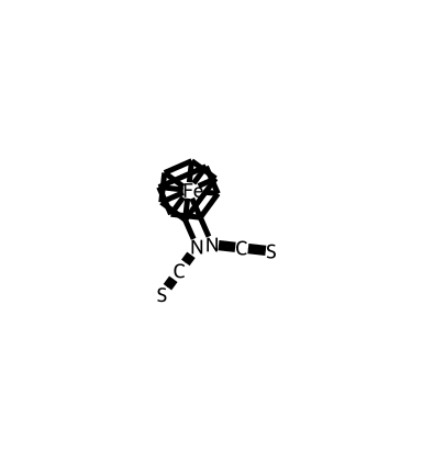 S=C=N[C]12[CH]3[CH]4[CH]5[CH]1[Fe]45321678[CH]2[CH]1[CH]6[C]7(N=C=S)[CH]28